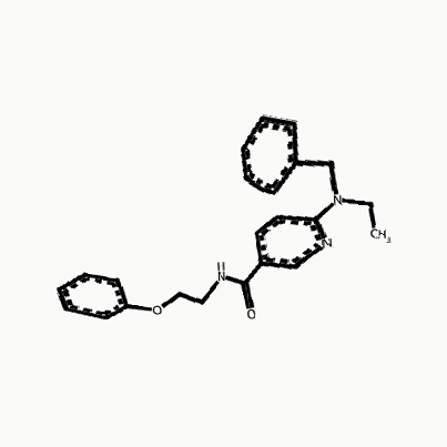 CCN(Cc1ccccc1)c1ccc(C(=O)NCCOc2ccccc2)cn1